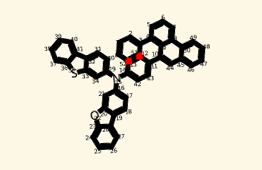 c1ccc(-c2cccc3c2c(-c2ccc(N(c4ccc5c(c4)oc4ccccc45)c4ccc5c(c4)sc4ccccc45)cc2)cc2ccccc23)cc1